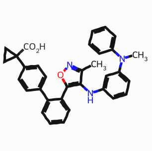 Cc1noc(-c2ccccc2-c2ccc(C3(C(=O)O)CC3)cc2)c1Nc1cccc(N(C)c2ccccc2)c1